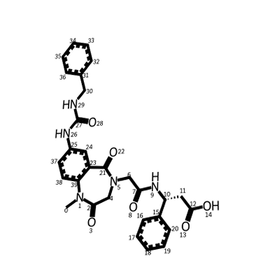 CN1C(=O)CN(CC(=O)N[C@H](CC(=O)O)c2ccccc2)C(=O)c2cc(NC(=O)NCc3ccccc3)ccc21